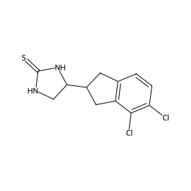 S=C1NCC(C2Cc3ccc(Cl)c(Cl)c3C2)N1